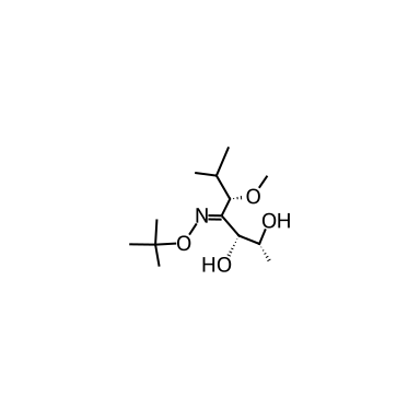 CO[C@H](/C(=N/OC(C)(C)C)[C@@H](O)[C@@H](C)O)C(C)C